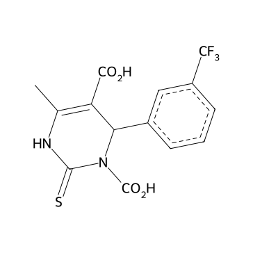 CC1=C(C(=O)O)C(c2cccc(C(F)(F)F)c2)N(C(=O)O)C(=S)N1